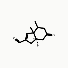 CC1CC(=O)C[C@H]2CC(C=O)=CC12C